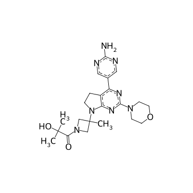 CC(C)(O)C(=O)N1CC(C)(N2CCc3c(-c4cnc(N)nc4)nc(N4CCOCC4)nc32)C1